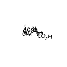 COc1ccc(F)c([C@H]2CC[C@@H](COc3cc([C@H](CC(=O)O)C4CC4)ccn3)CC2)c1